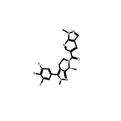 C[C@H]1c2nn(C)c(-c3cc(F)c(F)c(F)c3)c2CCN1C(=O)c1cnc2c(cnn2C)c1